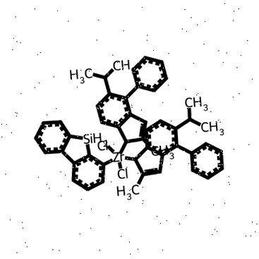 CC1=Cc2c(ccc(C(C)C)c2-c2ccccc2)[CH]1[Zr]([Cl])([Cl])([c]1cccc2c1[SiH2]c1ccccc1-2)[CH]1C(C)=Cc2c1ccc(C(C)C)c2-c1ccccc1